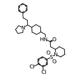 O=C(CC1CCCCN1S(=O)(=O)c1ccc(Cl)c(Cl)c1)NCC1CCC(C(CCc2ccccc2)N2CCCC2)CC1